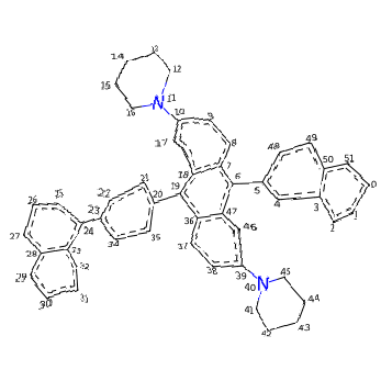 c1ccc2cc(-c3c4ccc(N5CCCCC5)cc4c(-c4ccc(-c5cccc6ccccc56)cc4)c4ccc(N5CCCCC5)cc34)ccc2c1